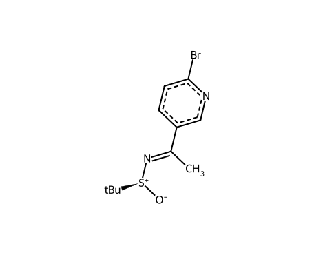 C/C(=N\[S@@+]([O-])C(C)(C)C)c1ccc(Br)nc1